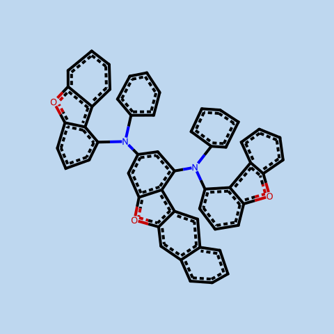 c1ccc(N(c2cc(N(c3ccccc3)c3cccc4oc5ccccc5c34)c3c(c2)oc2cc4ccccc4cc23)c2cccc3oc4ccccc4c23)cc1